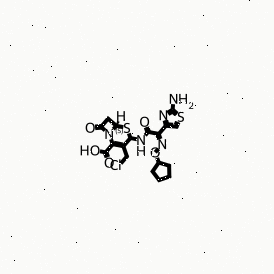 Nc1nc(C(=NOC2CCCC2)C(=O)NC2S[C@H]3CC(=O)N3C(C(=O)O)=C2CCl)cs1